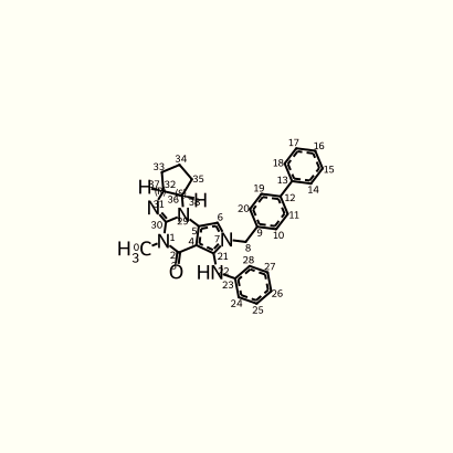 CN1C(=O)c2c(cn(Cc3ccc(-c4ccccc4)cc3)c2Nc2ccccc2)N2C1=N[C@@H]1CCC[C@@H]12